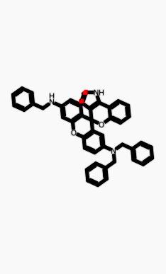 c1ccc(CNc2ccc3c(c2)Oc2ccc(N(Cc4ccccc4)Cc4ccccc4)cc2C32Oc3ccccc3-c3[nH]c4ccccc4c32)cc1